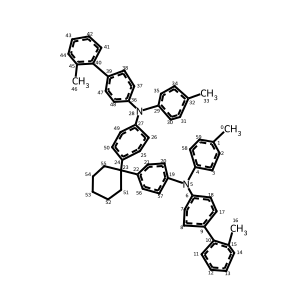 Cc1ccc(N(c2ccc(-c3ccccc3C)cc2)c2ccc(C3(c4ccc(N(c5ccc(C)cc5)c5ccc(-c6ccccc6C)cc5)cc4)CCCCC3)cc2)cc1